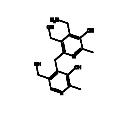 Cc1ncc(CO)c(Cc2nc(C)c(O)c(CN)c2CO)c1O